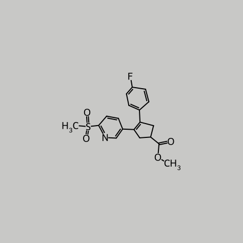 COC(=O)C1CC(c2ccc(F)cc2)=C(c2ccc(S(C)(=O)=O)nc2)C1